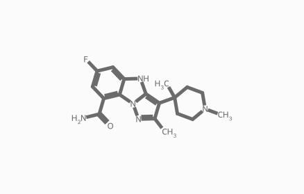 Cc1nn2c([nH]c3cc(F)cc(C(N)=O)c32)c1C1(C)CCN(C)CC1